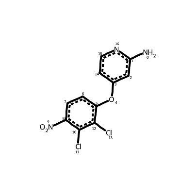 Nc1cc(Oc2ccc([N+](=O)[O-])c(Cl)c2Cl)ccn1